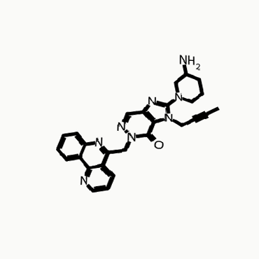 CC#CCn1c(N2CCCC(N)C2)nc2cnn(Cc3nc4ccccc4c4ncccc34)c(=O)c21